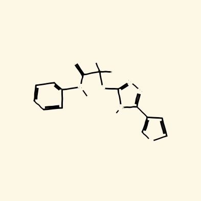 CN(C(=O)C(F)(F)Sc1nnc(-c2ccsc2)n1C)c1ccccc1